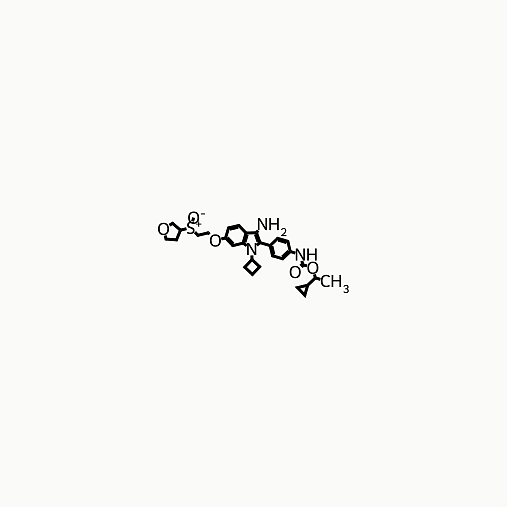 CC(OC(=O)Nc1ccc(-c2c(N)c3ccc(OCC[S+]([O-])C4CCOC4)cc3n2C2CCC2)cc1)C1CC1